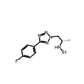 CCN[C@@H](C)Cn1nnc(-c2ccc(F)cc2)n1